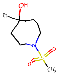 [CH2-][CH+]C1(O)CCN(S(C)(=O)=O)CC1